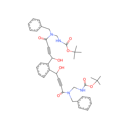 CC(C)(C)OC(=O)NCN(Cc1ccccc1)C(=O)C#CC(O)c1ccccc1C(O)C#CC(=O)N(CNC(=O)OC(C)(C)C)Cc1ccccc1